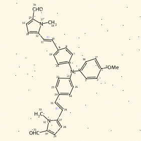 COc1ccc(N(c2ccc(/C=C/c3ccc(C=O)n3C)cc2)c2ccc(/C=C/c3ccc(C=O)n3C)cc2)cc1